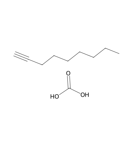 C#CCCCCCCC.O=C(O)O